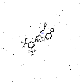 N#C/C=C/C1=CN(c2cc(C(F)(F)F)cc(C(F)(F)F)c2)NC1c1cccc(Cl)c1